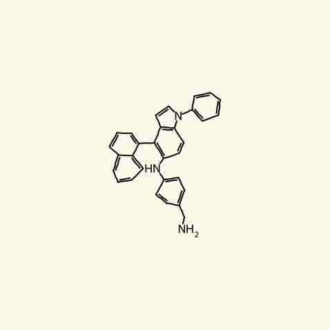 NCc1ccc(Nc2ccc3c(ccn3-c3ccccc3)c2-c2cccc3ccccc23)cc1